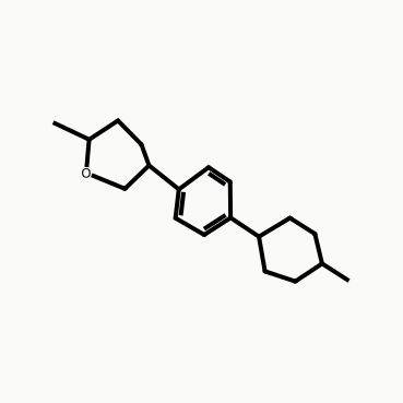 CC1CCC(c2ccc(C3CCC(C)OC3)cc2)CC1